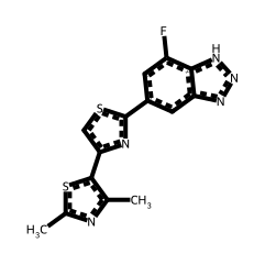 Cc1nc(C)c(-c2csc(-c3cc(F)c4[nH]nnc4c3)n2)s1